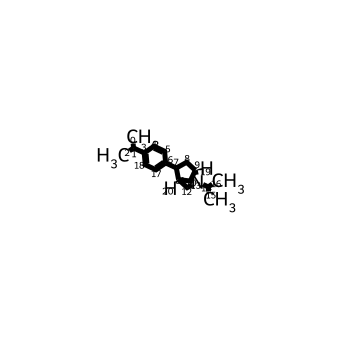 CC(C)c1ccc(C2C[C@@H]3C[C@H]2CN3C(C)C)cc1